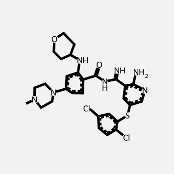 CN1CCN(c2ccc(C(=O)NC(=N)c3cc(Sc4cc(Cl)ccc4Cl)cnc3N)c(NC3CCOCC3)c2)CC1